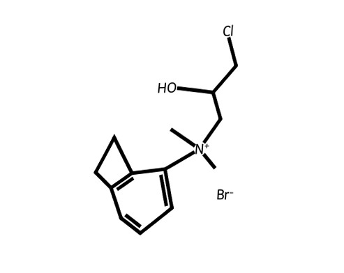 C[N+](C)(CC(O)CCl)c1cccc2c1CC2.[Br-]